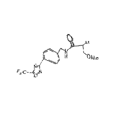 CCC(COC)C(=O)NCc1ccc(-c2noc(C(F)(F)F)n2)cc1